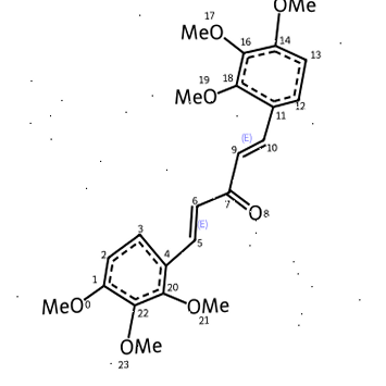 COc1ccc(/C=C/C(=O)/C=C/c2ccc(OC)c(OC)c2OC)c(OC)c1OC